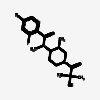 CC1CN(C(=O)C(C)(O)C(F)(F)F)CCC1N(C)C(=O)c1ncc(F)cc1F